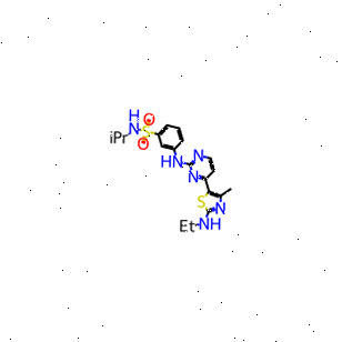 CCNc1nc(C)c(-c2ccnc(Nc3cccc(S(=O)(=O)NC(C)C)c3)n2)s1